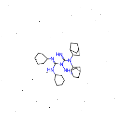 N=C(N(N)C(=NC1CCCCC1)NC1CCCCC1)N(C1CC2CCC1C2)C1CC2CCC1C2